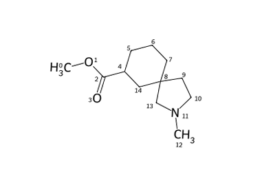 COC(=O)C1CCCC2(CCN(C)C2)C1